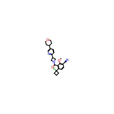 COc1c(C#N)ccc(C2(F)CCC2)c1C(=O)N1CC(c2ccc(C3CCOCC3)cn2)C1